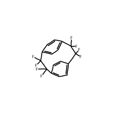 FC1(F)c2ccc(cc2)C(F)(F)C(F)(F)c2ccc(cc2)C1(F)F